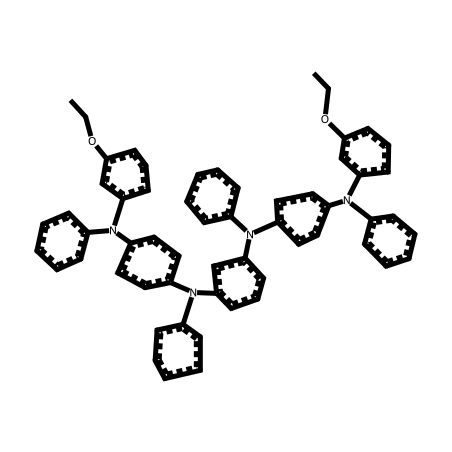 CCOc1cccc(N(c2ccccc2)c2ccc(N(c3ccccc3)c3cccc(N(c4ccccc4)c4ccc(N(c5ccccc5)c5cccc(OCC)c5)cc4)c3)cc2)c1